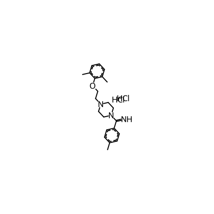 Cc1ccc(C(=N)N2CCN(CCOc3c(C)cccc3C)CC2)cc1.Cl.Cl